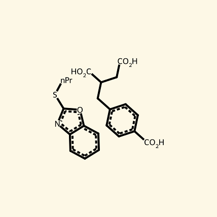 CCCSc1nc2ccccc2o1.O=C(O)CC(Cc1ccc(C(=O)O)cc1)C(=O)O